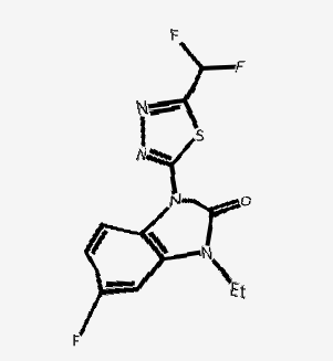 CCn1c(=O)n(-c2nnc(C(F)F)s2)c2ccc(F)cc21